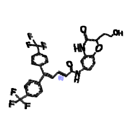 O=C(/C=C/C=C(c1ccc(C(F)(F)F)cc1)c1ccc(C(F)(F)F)cc1)Nc1ccc2c(c1)NC(=O)C(CCO)O2